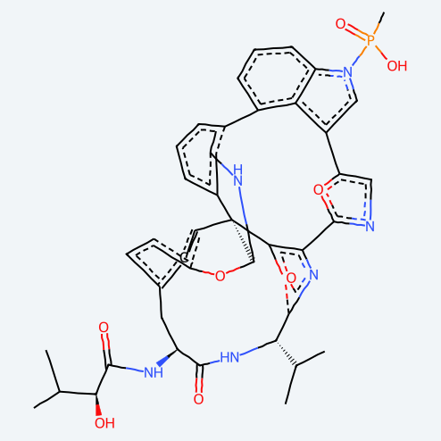 CC(C)[C@H](O)C(=O)N[C@H]1Cc2ccc3c(c2)[C@]24c5cccc(c5NC2O3)-c2cccc3c2c(cn3P(C)(=O)O)-c2cnc(o2)-c2nc(oc24)[C@H](C(C)C)NC1=O